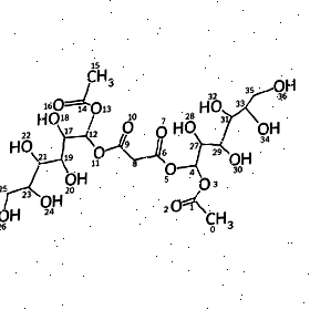 CC(=O)OC(OC(=O)CC(=O)OC(OC(C)=O)C(O)C(O)C(O)C(O)CO)C(O)C(O)C(O)C(O)CO